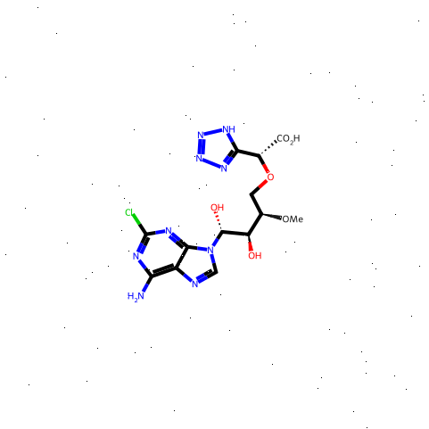 CO[C@H](CO[C@@H](C(=O)O)c1nnn[nH]1)[C@@H](O)[C@@H](O)n1cnc2c(N)nc(Cl)nc21